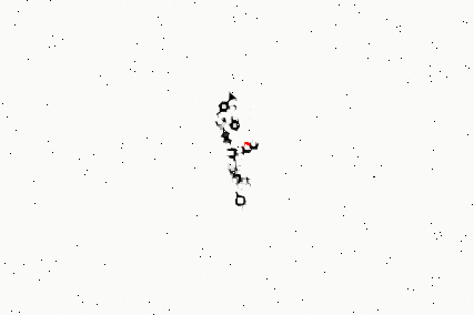 COc1cc(CN2CCN(C3CC4(C3)CN(c3ccc(C(=O)NS(=O)(=O)c5cnc(NCC6CCC(C)(O)CC6)c([N+](=O)[O-])c5)c(Oc5cnc6[nH]ccc6c5)c3)C4)[C@H](c3ccccc3C(C)C)C2)ccc1C1CC1